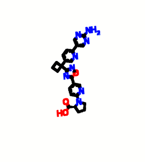 Nc1ncc(-c2ccc(C3(c4noc(-c5ccc(N6CCC[C@H]6C(=O)O)nc5)n4)CCC3)cn2)cn1